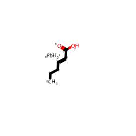 CCCC=CC(=O)O.[PbH2]